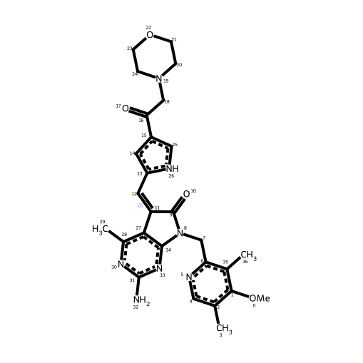 COc1c(C)cnc(CN2C(=O)/C(=C\c3cc(C(=O)CN4CCOCC4)c[nH]3)c3c(C)nc(N)nc32)c1C